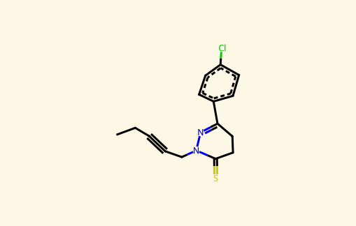 CCC#CCN1N=C(c2ccc(Cl)cc2)CCC1=S